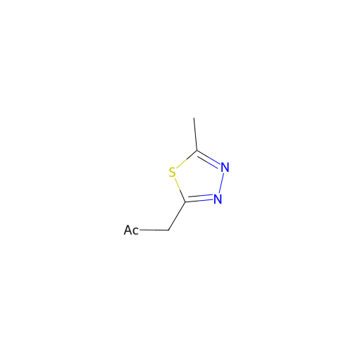 CC(=O)Cc1nnc(C)s1